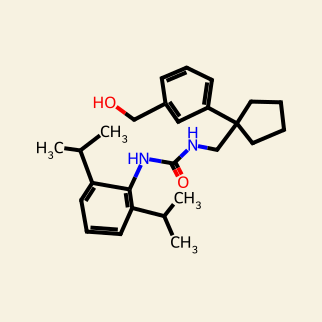 CC(C)c1cccc(C(C)C)c1NC(=O)NCC1(c2cccc(CO)c2)CCCC1